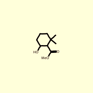 COC(=O)C1C(O)CCCC1(C)C